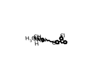 CC(C)NC(=O)CN1CCN(CCCCCOc2ccc(C(=Cc3ccccc3)c3ccc(Cl)cc3)cc2)CC1